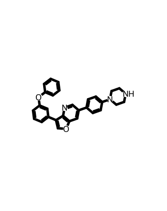 c1ccc(Oc2cccc(-c3coc4cc(-c5ccc(N6CCNCC6)cc5)cnc34)c2)cc1